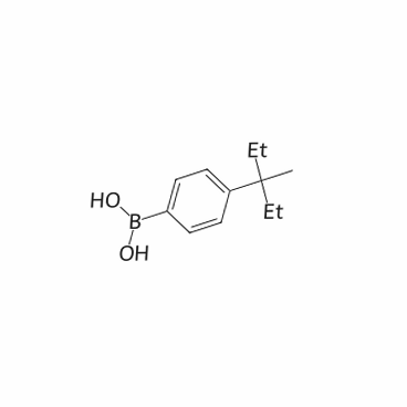 CCC(C)(CC)c1ccc(B(O)O)cc1